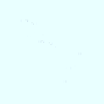 CC(C)CC=O.CC(C)CC=O.NNC(=O)C(=O)NN